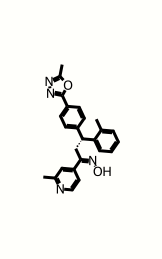 Cc1cc(/C(C[C@H](c2ccc(-c3nnc(C)o3)cc2)c2ccccc2C)=N\O)ccn1